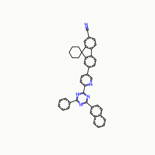 N#Cc1ccc2c(c1)C1(CCCCC1)c1cc(-c3ccc(-c4nc(-c5ccccc5)nc(-c5ccc6ccccc6c5)n4)nc3)ccc1-2